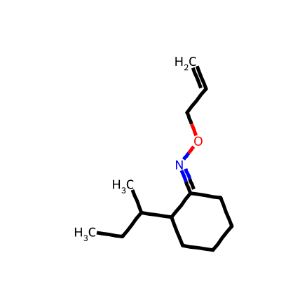 C=CCON=C1CCCCC1C(C)CC